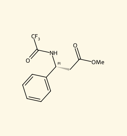 COC(=O)C[C@@H](NC(=O)C(F)(F)F)c1ccccc1